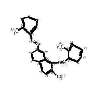 Cc1ccccc1/N=N/c1ccc2ccc(O)c(/N=N/c3ccccc3C)c2c1